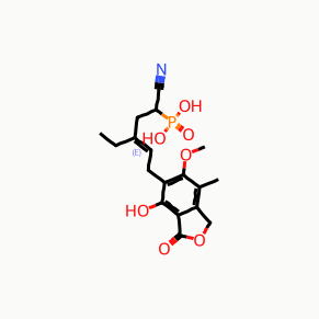 CC/C(=C\Cc1c(O)c2c(c(C)c1OC)COC2=O)CC(C#N)P(=O)(O)O